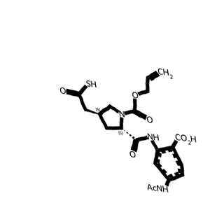 C=CCOC(=O)N1C[C@H](CC(=O)S)C[C@H]1C(=O)Nc1cc(NC(C)=O)ccc1C(=O)O